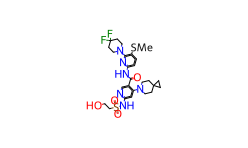 CSc1ccc(NC(=O)c2cnc(NS(=O)(=O)CCO)cc2N2CCC3(CC2)CC3)nc1N1CCC(F)(F)CC1